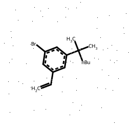 C=Cc1cc(Br)cc(C(C)(C)CCCC)c1